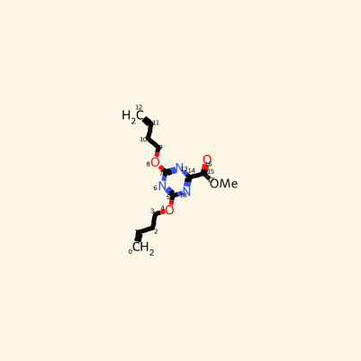 C=CCCOc1nc(OCCC=C)nc(C(=O)OC)n1